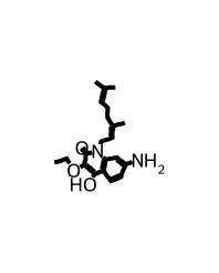 CCOc1c(O)c2ccc(N)cc2n(CC=C(C)CCC=C(C)C)c1=O